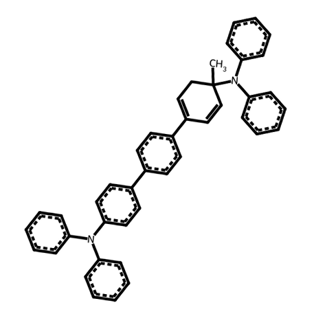 CC1(N(c2ccccc2)c2ccccc2)C=CC(c2ccc(-c3ccc(N(c4ccccc4)c4ccccc4)cc3)cc2)=CC1